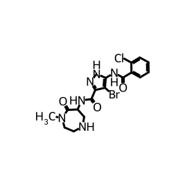 CN1CCNCC(NC(=O)c2n[nH]c(NC(=O)c3ccccc3Cl)c2Br)C1=O